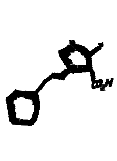 O=C(O)c1c(F)ncn1CCc1ccccc1